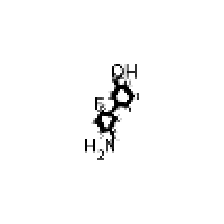 NCc1ccc(F)c(-c2cccc(CO)c2)c1